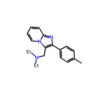 CCN(CC)Cc1c(-c2ccc(C)cc2)nc2ccccn12